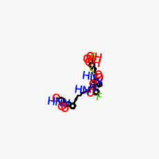 CC(C)(C)C(NC(=O)c1cc2cc(C(F)(F)P(=O)(O)O)ccc2s1)C(=O)N1CCC[C@H]1C(=O)N(CC(=O)NCCCCC#Cc1cccc2c1CN(C1CCC(=O)NC1=O)C2=O)c1ccc(F)cc1